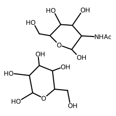 CC(=O)NC1C(O)OC(CO)C(O)C1O.OCC1OC(O)C(O)C(O)C1O